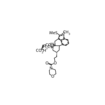 CSc1c2c3c(cccc3n1C)C1C[C@@H](CCOC(=O)N3CCOCC3)CN(C)[C@@H]1C2.O=C(O)/C=C\C(=O)O